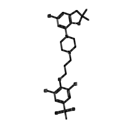 CC1(C)Cc2cc(Cl)cc(N3CCN(CCCOc4c(Cl)cc(S(C)(=O)=O)cc4Cl)CC3)c2O1